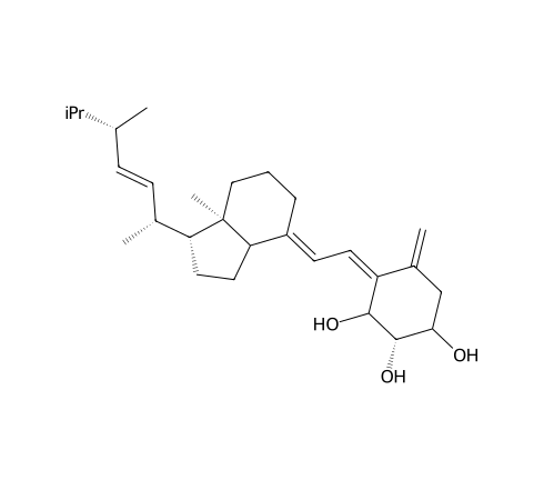 C=C1CC(O)[C@H](O)C(O)C1=CC=C1CCC[C@@]2(C)C1CC[C@@H]2[C@H](C)/C=C/[C@@H](C)C(C)C